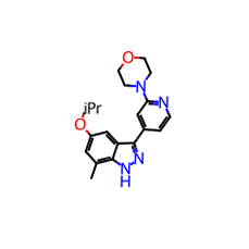 Cc1cc(OC(C)C)cc2c(-c3ccnc(N4CCOCC4)c3)n[nH]c12